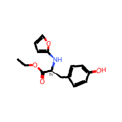 CCOC(=O)[C@H](Cc1ccc(O)cc1)Nc1ccco1